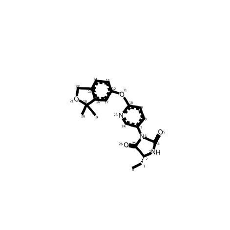 CC[C@H]1NC(=O)N(c2ccc(Oc3ccc4c(c3)C(C)(C)OC4)nc2)C1=O